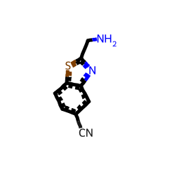 N#Cc1ccc2sc(CN)nc2c1